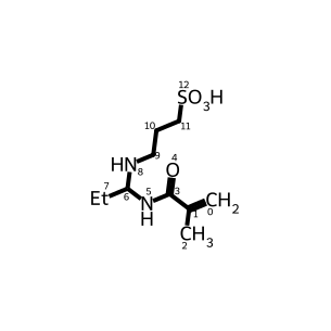 C=C(C)C(=O)NC(CC)NCCCS(=O)(=O)O